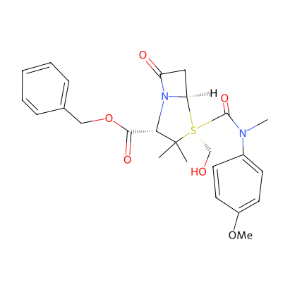 COc1ccc(N(C)C(=O)[S@]2(CO)[C@@H]3CC(=O)N3[C@@H](C(=O)OCc3ccccc3)C2(C)C)cc1